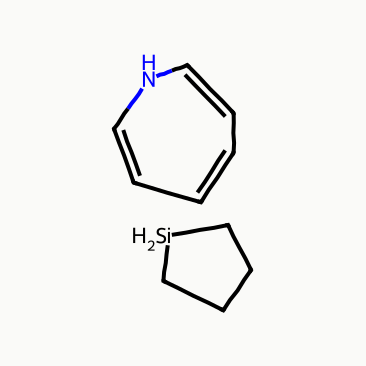 C1=CC=CNC=C1.C1CC[SiH2]C1